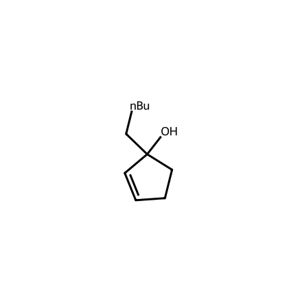 CCCCCC1(O)C=CCC1